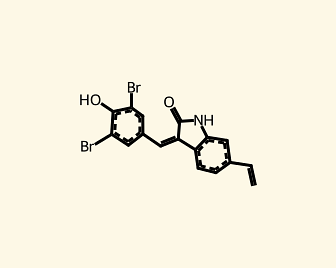 C=Cc1ccc2c(c1)NC(=O)/C2=C\c1cc(Br)c(O)c(Br)c1